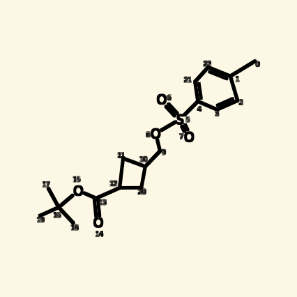 Cc1ccc(S(=O)(=O)OCC2CC(C(=O)OC(C)(C)C)C2)cc1